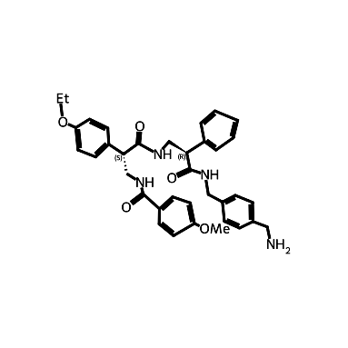 CCOc1ccc([C@@H](CNC(=O)c2ccc(OC)cc2)C(=O)NC[C@H](C(=O)NCc2ccc(CN)cc2)c2ccccc2)cc1